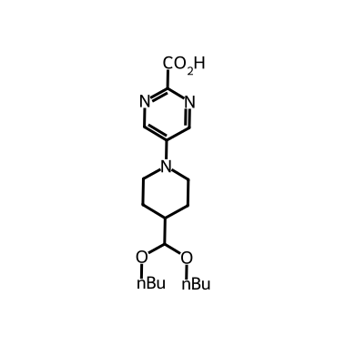 CCCCOC(OCCCC)C1CCN(c2cnc(C(=O)O)nc2)CC1